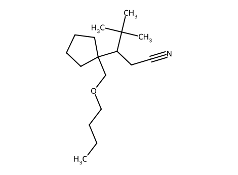 CCCCOCC1(C(CC#N)C(C)(C)C)CCCC1